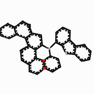 c1ccc(N(c2cccc3c2sc2ccccc23)c2cc3ccc4ccccc4c3c3ccc4ccccc4c23)cc1